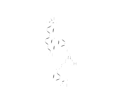 CCN(CCCCOc1cccc(C(=O)O)c1)CCOc1ccc(Oc2c(-c3ccc(S(C)(=O)=O)cc3)ccc3cc(O)ccc23)cc1